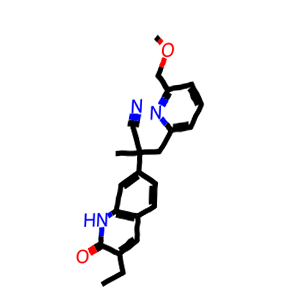 CCc1cc2ccc(C(C)(C#N)Cc3cccc(COC)n3)cc2[nH]c1=O